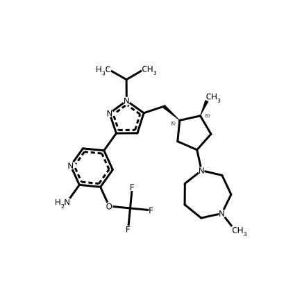 CC(C)n1nc(-c2cnc(N)c(OC(F)(F)F)c2)cc1C[C@@H]1CC(N2CCCN(C)CC2)C[C@@H]1C